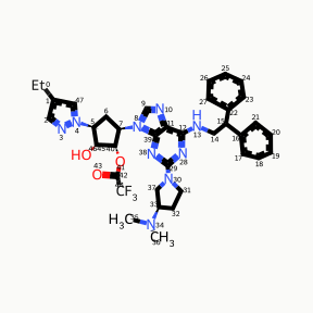 CCc1cnn([C@H]2C[C@@H](n3cnc4c(NCC(c5ccccc5)c5ccccc5)nc(N5CC[C@@H](N(C)C)C5)nc43)[C@H](OC(=O)C(F)(F)F)[C@@H]2O)c1